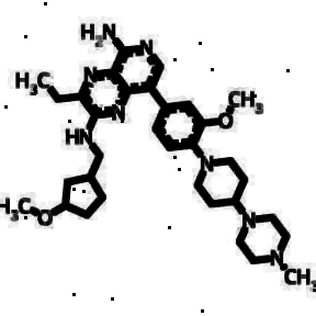 CCc1nc2c(N)ncc(-c3ccc(N4CCC(N5CCN(C)CC5)CC4)c(OC)c3)c2nc1NCC1CCC(OC)C1